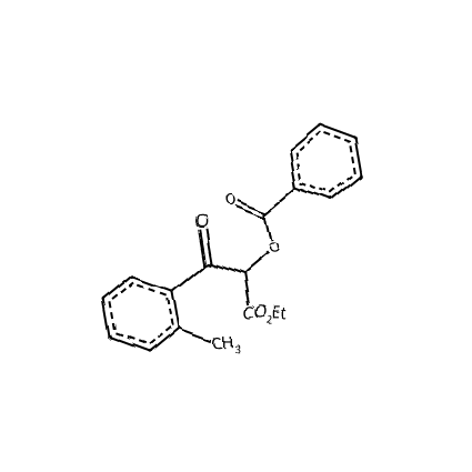 CCOC(=O)C(OC(=O)c1ccccc1)C(=O)c1ccccc1C